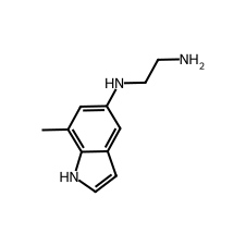 Cc1cc(NCCN)cc2cc[nH]c12